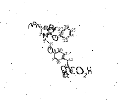 CCCC(CCC)CN(CCOc1ccc(CC(OCC)C(=O)O)cc1)C(=O)Oc1ccccc1